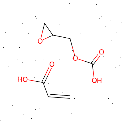 C=CC(=O)O.O=C(O)OCC1CO1